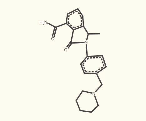 CC1c2cccc(C(N)=O)c2C(=O)N1c1ccc(CN2CCCCC2)cc1